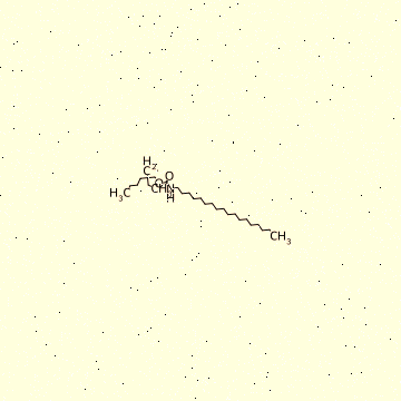 [CH2]C(CC)(CCCC)COC(=O)NCCCCCCCCCCCCCCCCCC